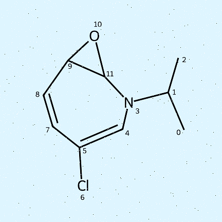 CC(C)N1C=C(Cl)C=CC2OC21